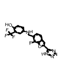 Oc1ccc(NCc2ccc3cc(-c4nnn[nH]4)oc3c2F)cc1C(F)(F)F